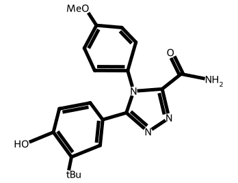 COc1ccc(-n2c(C(N)=O)nnc2-c2ccc(O)c(C(C)(C)C)c2)cc1